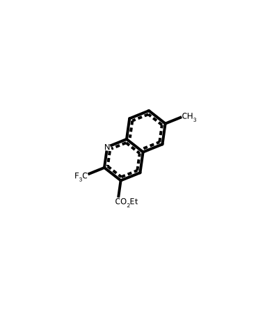 CCOC(=O)c1cc2cc(C)ccc2nc1C(F)(F)F